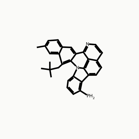 Cc1ccc2cc3c4nccc5ccc6c7c(P)cccc7n(c3c(CC(C)(C)C)c2c1)c6c54